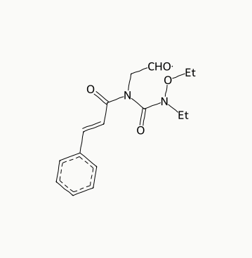 CCON(CC)C(=O)N(C[C]=O)C(=O)/C=C/c1ccccc1